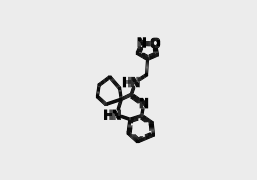 c1ccc2c(c1)N=C(NCc1cnoc1)C1(CCCCC1)N2